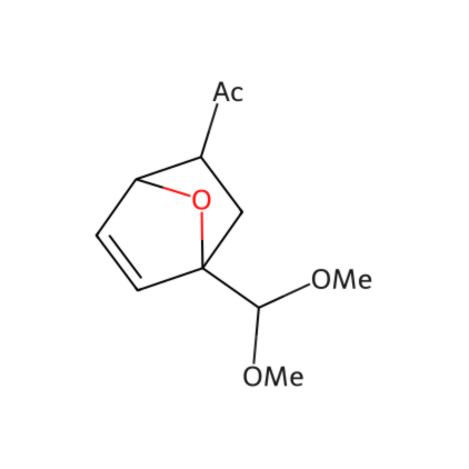 COC(OC)C12C=CC(O1)C(C(C)=O)C2